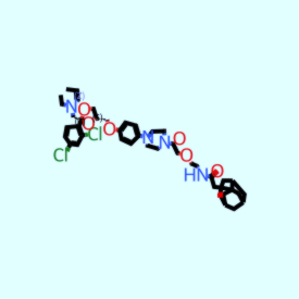 C/C=C\N(CC)C[C@]1(c2ccc(Cl)cc2Cl)OC[C@H](COc2ccc(N3CCN(C(=O)COCCNC(=O)CC45CC6CC7CC(C4)C5(C7)C6)CC3)cc2)O1